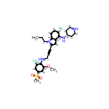 CCCn1c(C#CCNc2c(F)cc(S(C)(=O)=O)cc2OC)cc2c(N[C@H]3CCNC[C@H]3F)cccc21